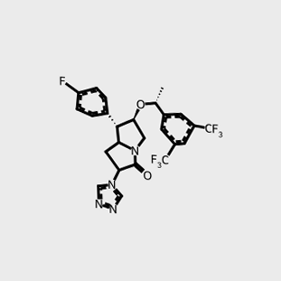 C[C@@H](O[C@H]1CN2C(=O)C(n3cnnc3)CC2[C@@H]1c1ccc(F)cc1)c1cc(C(F)(F)F)cc(C(F)(F)F)c1